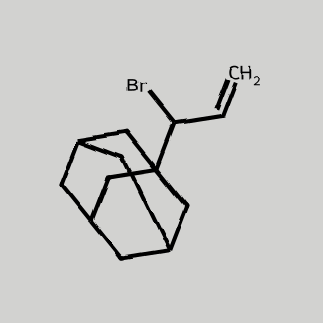 C=CC(Br)C12CC3CC(CC(C3)C1)C2